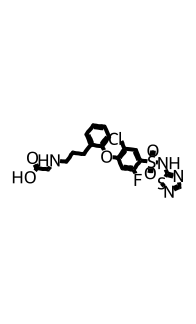 O=C(O)CNCCCc1ccccc1Oc1cc(F)c(S(=O)(=O)Nc2ncns2)cc1Cl